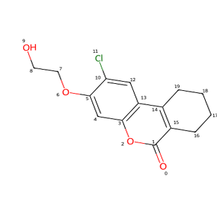 O=c1oc2cc(OCCO)c(Cl)cc2c2c1CCCC2